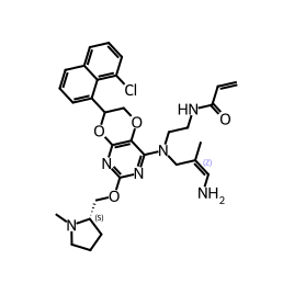 C=CC(=O)NCCN(C/C(C)=C\N)c1nc(OC[C@@H]2CCCN2C)nc2c1OCC(c1cccc3cccc(Cl)c13)O2